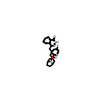 O=C(CCCc1n[nH]c(=O)c2ccccc12)N1C2CCC1CN(c1ncc(F)cn1)C2